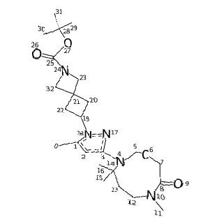 Cc1cc(N2CCCC(=O)N(C)CCC2(C)C)nn1C1CC2(C1)CN(C(=O)OC(C)(C)C)C2